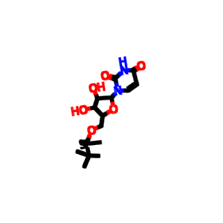 CC(C)(C)[Si](C)(C)OCC1OC(n2ccc(=O)[nH]c2=O)C(O)C1O